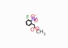 COC(=O)Cc1cccc(F)c1[N+](=O)[O-]